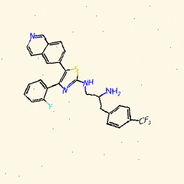 NC(CNc1nc(-c2ccccc2F)c(-c2ccc3cnccc3c2)s1)Cc1ccc(C(F)(F)F)cc1